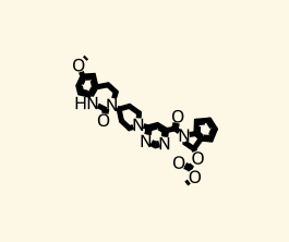 COC(=O)OC1CN(C(=O)c2cc(N3CCC(N4CCc5cc(OC)ccc5NC4=O)CC3)ncn2)c2ccccc21